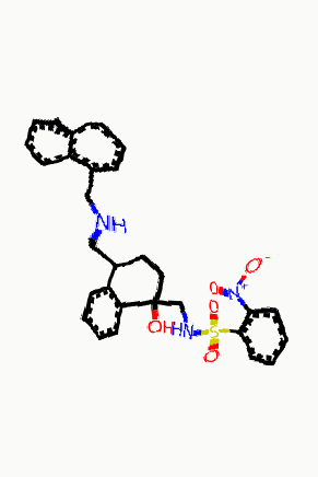 O=[N+]([O-])c1ccccc1S(=O)(=O)NCC1(O)CCC(CNCc2cccc3ccccc23)c2ccccc21